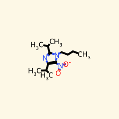 CCCCn1c(C(C)C)nc(C(C)C)c1[N+](=O)[O-]